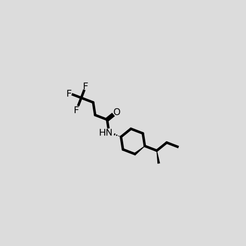 CC[C@@H](C)[C@H]1CC[C@H](NC(=O)CCC(F)(F)F)CC1